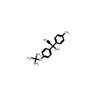 C#CC(N=O)(c1ccc(C)cc1)c1ccc(OC(N)(N)N)cc1